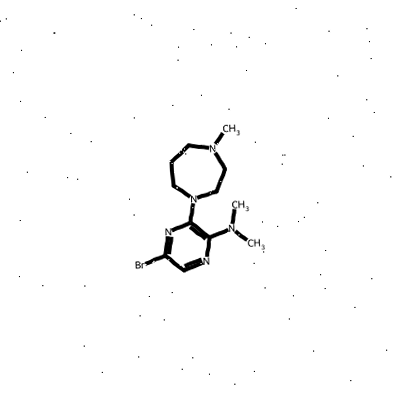 CN1CCCN(c2nc(Br)cnc2N(C)C)CC1